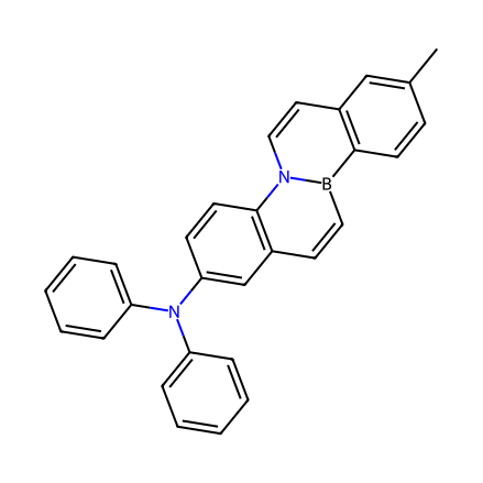 Cc1ccc2c(c1)C=CN1B2C=Cc2cc(N(c3ccccc3)c3ccccc3)ccc21